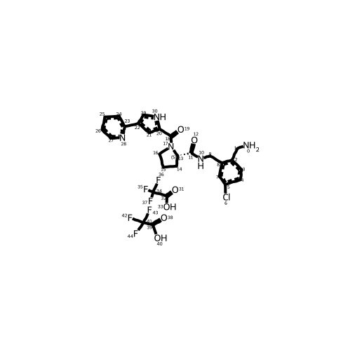 NCc1ccc(Cl)cc1CNC(=O)[C@@H]1CCCN1C(=O)c1cc(-c2ccccn2)c[nH]1.O=C(O)C(F)(F)F.O=C(O)C(F)(F)F